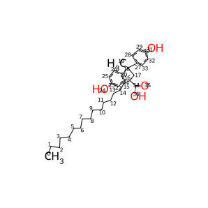 CCCCCCCCCCCCCCCCC(CC(C)(c1ccc(O)cc1)c1ccc(O)cc1)C(=O)O